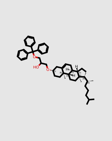 CC(C)CCC[C@@H](C)[C@H]1CC[C@H]2[C@@H]3CC=C4C[C@@H](OCC(O)COC(c5ccccc5)(c5ccccc5)c5ccccc5)CC[C@]4(C)[C@H]3CC[C@]12C